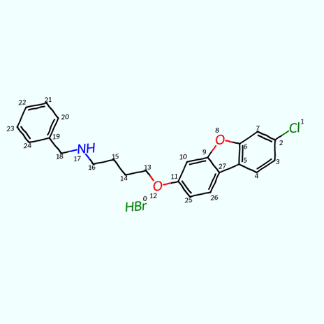 Br.Clc1ccc2c(c1)oc1cc(OCCCCNCc3ccccc3)ccc12